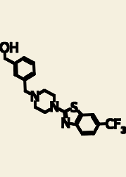 OCc1cccc(CN2CCN(c3nc4ccc(C(F)(F)F)cc4s3)CC2)c1